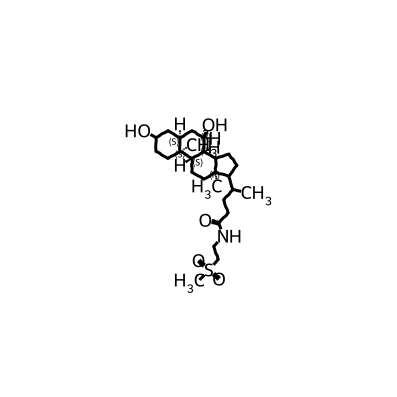 [2H][C@@]1(O)C[C@@H]2CC(O)CC[C@]2(C)[C@H]2CC[C@]3(C)C(C(C)CCC(=O)NCCS(C)(=O)=O)CCC3[C@@H]21